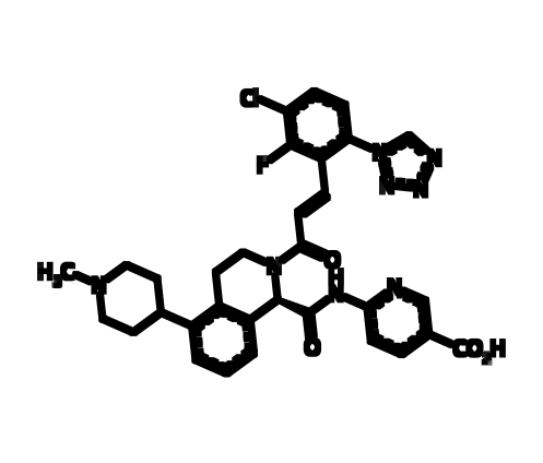 CN1CCC(c2cccc3c2CCN(C(=O)/C=C/c2c(-n4cnnn4)ccc(Cl)c2F)[C@H]3C(=O)Nc2ccc(C(=O)O)cn2)CC1